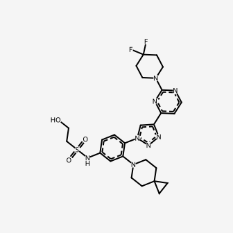 O=S(=O)(CCO)Nc1ccc(-n2cc(-c3ccnc(N4CCC(F)(F)CC4)n3)nn2)c(N2CCC3(CC2)CC3)c1